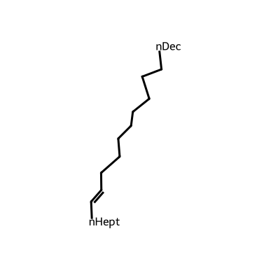 [CH2]CCCCCCC=CCCCCCCCCCCCCCCCCC[CH2]